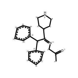 CC(=O)CN=C(C1CCNCC1)C(c1ccccc1)c1ccccc1